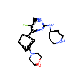 Fc1cnc(NC2CCNCC2)nc1-c1cccc(N2CCOCC2)c1